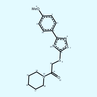 COc1ccc(-c2nsc(SCC(=O)N3CCCCC3)n2)cc1